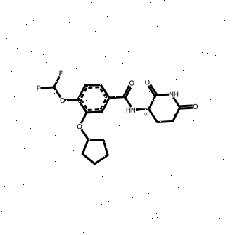 O=C1CC[C@@H](NC(=O)c2ccc(OC(F)F)c(OC3CCCC3)c2)C(=O)N1